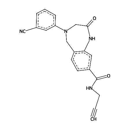 C#CCNC(=O)c1ccc2c(c1)NC(=O)CN(c1cccc(C#N)c1)C2